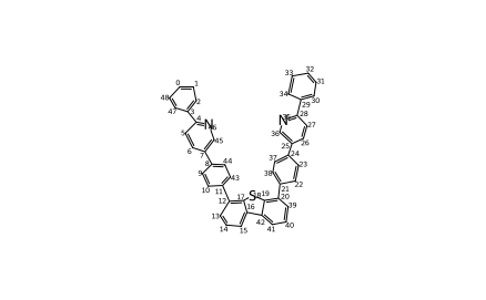 c1ccc(-c2ccc(-c3ccc(-c4cccc5c4sc4c(-c6ccc(-c7ccc(-c8ccccc8)nc7)cc6)cccc45)cc3)cn2)cc1